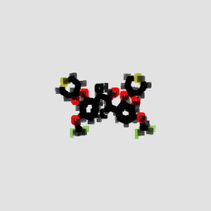 CC(C(=O)C(C)c1ccc(OC(F)F)c2c1OC1(CCSCC1)O2)c1ccc(OC(F)F)c2c1OC1(CCSCC1)O2